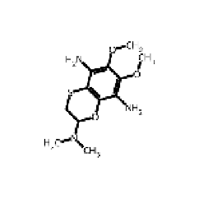 COc1c(N)c2c(c(N)c1OC)SCC(N(C)C)O2